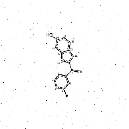 O=C(c1cccc(F)c1)c1cc2ccc(O)cc2s1